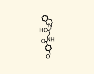 O=Cc1ccc(C(=O)NCCC(O)CN2CCc3ccccc3C2)cc1